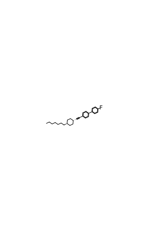 CCCCCCC[C@H]1CC[C@H](C#Cc2ccc(-c3ccc(F)cc3)cc2)CC1